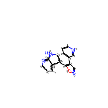 c1cncc(-c2cnoc2-c2c[nH]c3ncccc23)c1